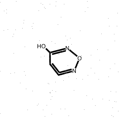 OC1=NON=C=C1